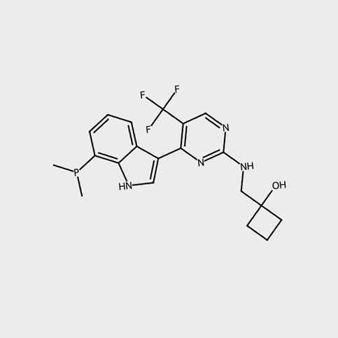 CP(C)c1cccc2c(-c3nc(NCC4(O)CCC4)ncc3C(F)(F)F)c[nH]c12